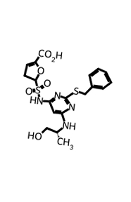 C[C@H](CO)Nc1cc(NS(=O)(=O)C2CC=C(C(=O)O)O2)nc(SCc2ccccc2)n1